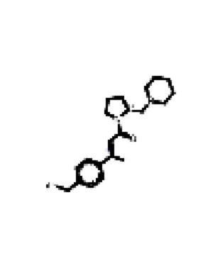 C/C(=C\C(=O)N1CCC[C@H]1CN1CCCCC1)c1ccc(CC(C)C)cc1